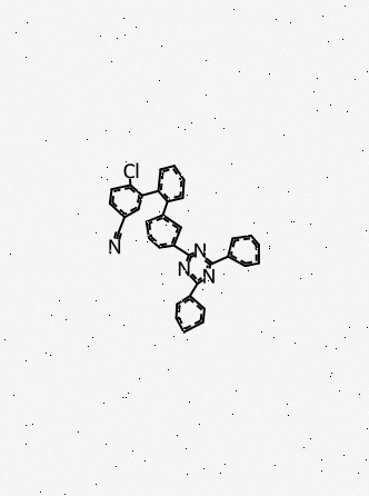 N#Cc1ccc(Cl)c(-c2ccccc2-c2cccc(-c3nc(-c4ccccc4)nc(-c4ccccc4)n3)c2)c1